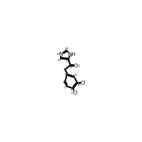 O=C(Cc1ccc(Cl)c(Cl)c1)c1cnc[nH]1